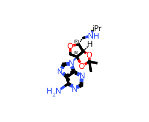 CC(C)NC[C@H]1OC[C@@]2(n3cnc4c(N)ncnc43)OC(C)(C)O[C@H]12